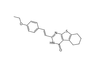 CCOc1ccc(C=Cc2nc3sc4c(c3c(=O)[nH]2)CCCC4)cc1